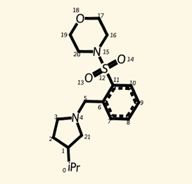 CC(C)C1CCN(Cc2ccccc2S(=O)(=O)N2CCOCC2)C1